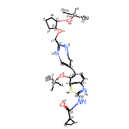 CC(C)(C)[Si](C)(C)Oc1c(-c2cnc(CO[C@H]3CCCC3O[Si](C)(C)C(C)(C)C)nc2)ccc2nc(NC(=O)C3CC3)sc12